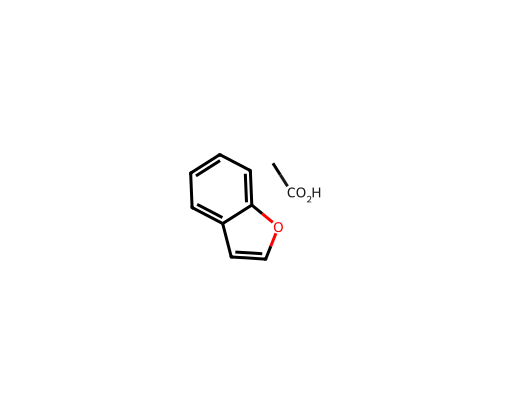 CC(=O)O.c1ccc2occc2c1